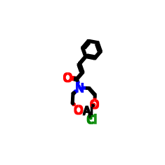 O=C(/C=C/c1ccccc1)N1CC[O][Al]([Cl])[O]CC1